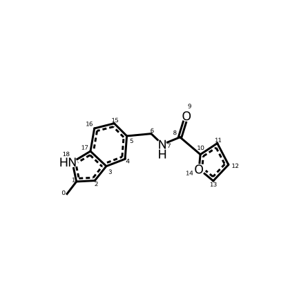 Cc1cc2cc(CNC(=O)c3ccco3)ccc2[nH]1